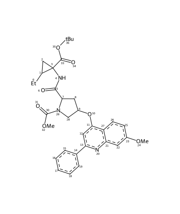 CCC1CC1(NC(=O)C1CC(Oc2cc(-c3ccccc3)nc3cc(OC)ccc23)CN1C(=O)OC)C(=O)OC(C)(C)C